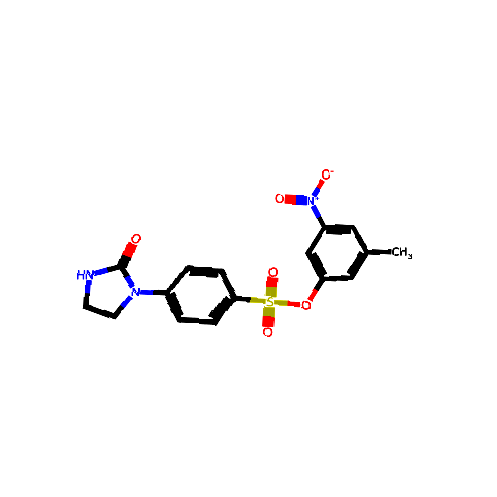 Cc1cc(OS(=O)(=O)c2ccc(N3CCNC3=O)cc2)cc([N+](=O)[O-])c1